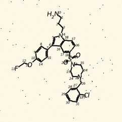 NCCCn1cc(-c2ccc(OCF)cc2)c2cc(S(=O)(=O)N3CCN(Cc4ccccc4Cl)CC3)ccc21